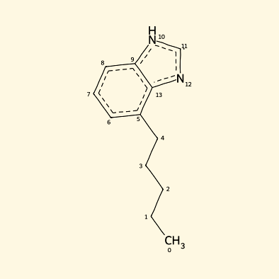 CCCCCc1cccc2[nH][c]nc12